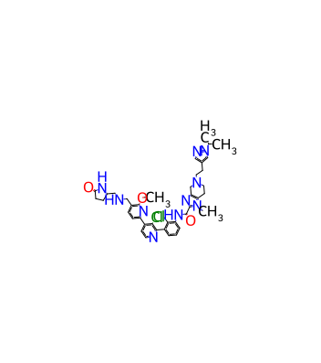 COc1nc(-c2ccnc(-c3cccc(NC(=O)c4nc5c(n4C)CCN(CCc4cnn(C(C)C)c4)C5)c3Cl)c2Cl)ccc1CNCC1CCC(=O)N1